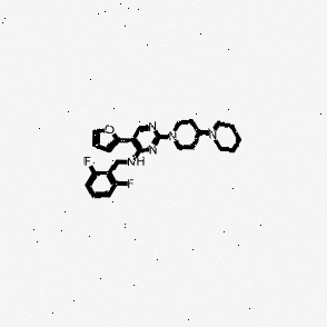 Fc1cccc(F)c1CNc1nc(N2CCC(N3CCCCC3)CC2)ncc1-c1ccco1